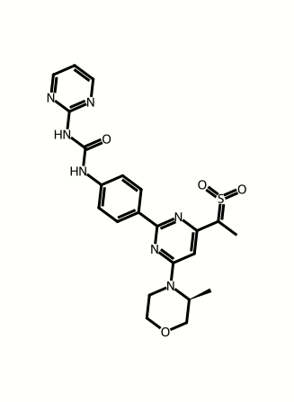 CC(c1cc(N2CCOC[C@@H]2C)nc(-c2ccc(NC(=O)Nc3ncccn3)cc2)n1)=S(=O)=O